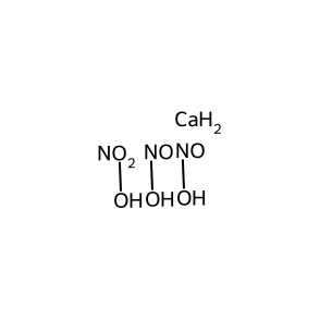 O=NO.O=NO.O=[N+]([O-])O.[CaH2]